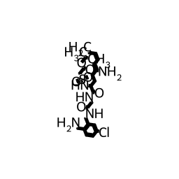 C=C/C=C\C=C(/N)CCC(NS(=O)(=O)CC(=O)OC(C)C)C(=O)NCC(=O)NCc1cc(Cl)ccc1CN